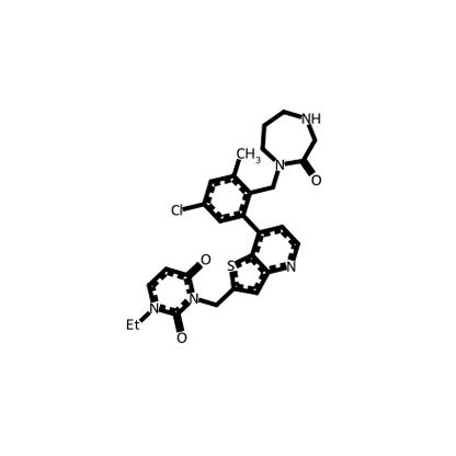 CCn1ccc(=O)n(Cc2cc3nccc(-c4cc(Cl)cc(C)c4CN4CCCNCC4=O)c3s2)c1=O